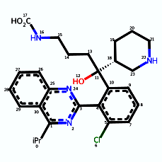 CC(C)c1nc(-c2c(Cl)cccc2C(O)(CCCNC(=O)O)[C@@H]2CCCNC2)nc2ccccc12